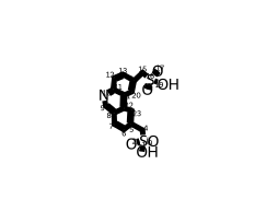 O=S(=O)(O)Cc1ccc2cnc3ccc(CS(=O)(=O)O)cc3c2c1